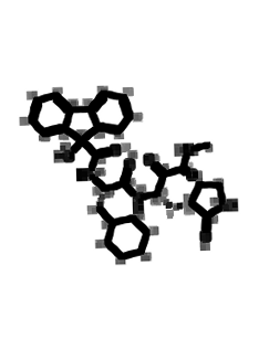 CNC(=O)C(=O)[C@H](C[C@@H]1CCNC1=O)NC(=O)[C@H](CC1CCCCC1)NC(=O)C1(O)c2ccccc2-c2ccccc21